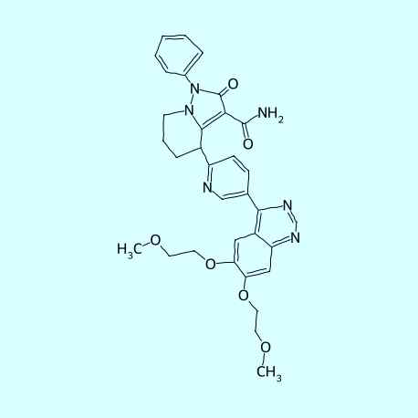 COCCOc1cc2ncnc(-c3ccc(C4CCCn5c4c(C(N)=O)c(=O)n5-c4ccccc4)nc3)c2cc1OCCOC